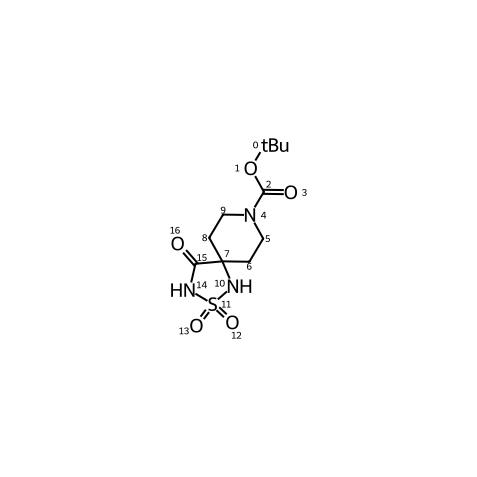 CC(C)(C)OC(=O)N1CCC2(CC1)NS(=O)(=O)NC2=O